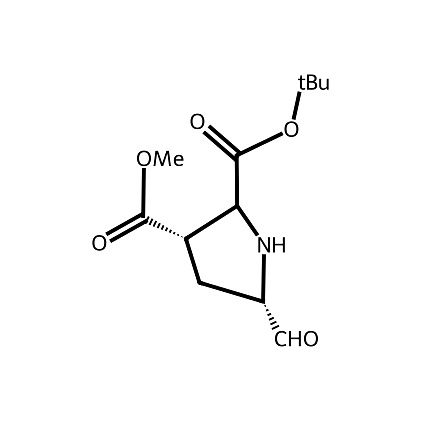 COC(=O)[C@H]1C[C@@H](C=O)NC1C(=O)OC(C)(C)C